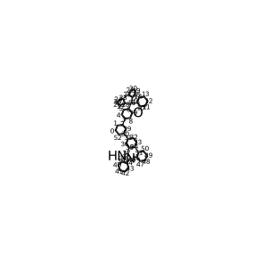 c1cc(-c2ccc3c(c2)Oc2ccccc2C32c3ccccc3-c3ccccc32)cc(-c2ccc3c(c2)C2Nc4ccccc4N2c2ccccc2-3)c1